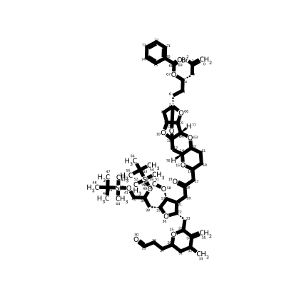 C=C(Br)C[C@H](CC[C@@]12CC3OC4C(O1)[C@H]1OC(CC(=O)CC5[C@H](CC6OC(CCC=O)CC(C)C6=C)O[C@H](CC(CO[Si](C)(C)C(C)(C)C)O[Si](C)(C)C(C)(C)C)[C@@H]5OC)CCC1O[C@H]4C3O2)OC(=O)c1ccccc1